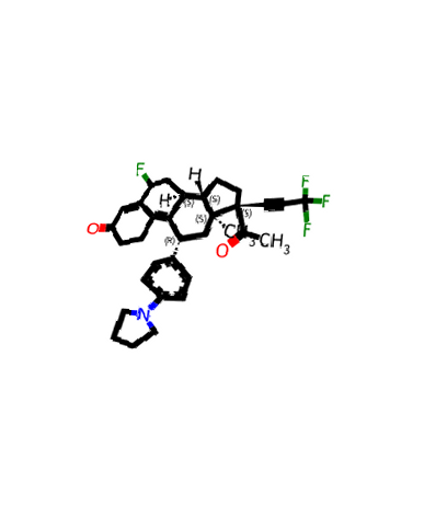 CC(=O)[C@@]1(C#CC(F)(F)F)CC[C@H]2[C@@H]3CC(F)C4=CC(=O)CCC4=C3[C@@H](c3ccc(N4CCCC4)cc3)C[C@@]21C